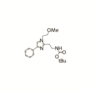 COCCn1cc(-c2ccccc2)nc1CCNC(=O)OC(C)(C)C